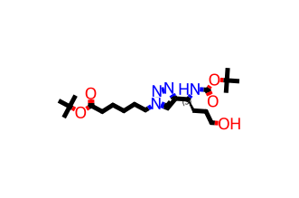 CC(C)(C)OC(=O)CCCCCn1cc([C@H](CCCO)NC(=O)OC(C)(C)C)nn1